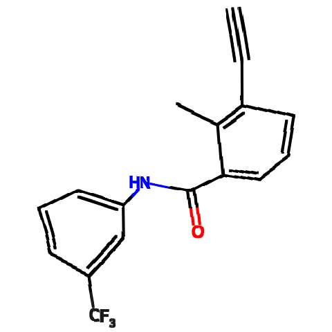 C#Cc1cccc(C(=O)Nc2cccc(C(F)(F)F)c2)c1C